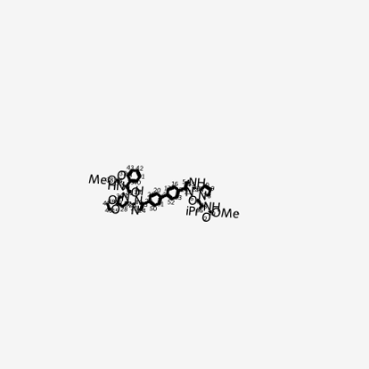 COC(=O)NC(C(=O)N1CC=C[C@H]1c1nc(-c2ccc(-c3ccc(-c4cnc([C@@H]5CC6(CN5C(=O)[C@H](NC(=O)OC)c5ccccc5)OCCO6)[nH]4)cc3)cc2)c[nH]1)C(C)C